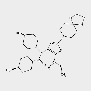 COC(=O)c1sc(C2CCC3(CC2)OCCO3)cc1N(C(=O)[C@H]1CC[C@H](C)CC1)[C@H]1CC[C@H](O)CC1